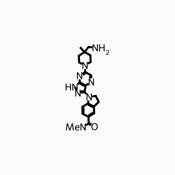 CNC(=O)c1ccc2c(c1)CCN2c1n[nH]c2nc(N3CCC(C)(CN)CC3)cnc12